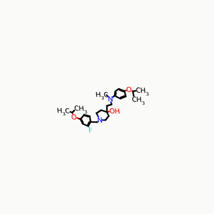 CC(C)Oc1ccc(N(C)CCC2(O)CCN(Cc3ccc(OC(C)C)cc3F)CC2)cc1